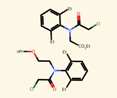 CCCOCCN(C(=O)CCl)c1c(CC)cccc1CC.CCOC(=O)CN(C(=O)CCl)c1c(CC)cccc1CC